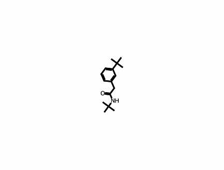 CC(C)(C)NC(=O)Cc1cccc(C(C)(C)C)c1